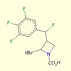 CC(C)(C)C1C(C(F)c2cc(F)c(F)c(F)c2)CN1C(=O)O